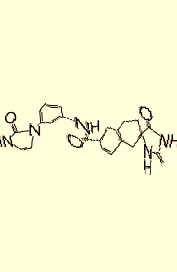 C=C1NC(=O)C2(CCc3cc(C(=O)Nc4cccc(N5CCNC5=O)c4)ccc3C2)N1